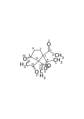 CC(=O)C1(C(C)=O)CCC(=O)C1(C(C)=O)C(C)=O